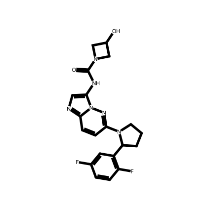 O=C(Nc1cnc2ccc(N3CCCC3c3cc(F)ccc3F)nn12)N1CC(O)C1